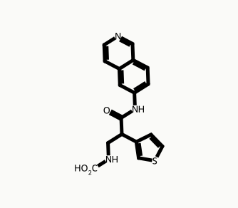 O=C(O)NCC(C(=O)Nc1ccc2cnccc2c1)c1ccsc1